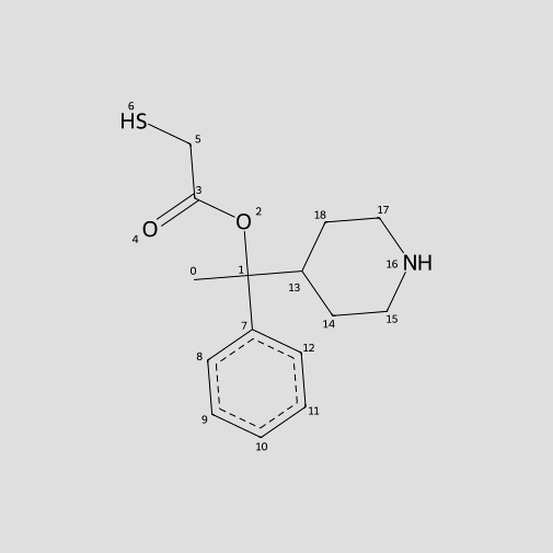 CC(OC(=O)CS)(c1ccccc1)C1CCNCC1